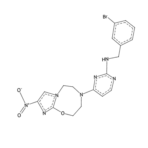 O=[N+]([O-])c1cn2c(n1)OCCN(c1ccnc(NCc3cccc(Br)c3)n1)CC2